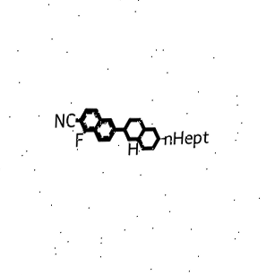 CCCCCCC[C@@H]1CC[C@@H]2CC(c3ccc4c(F)c(C#N)ccc4c3)CCC2C1